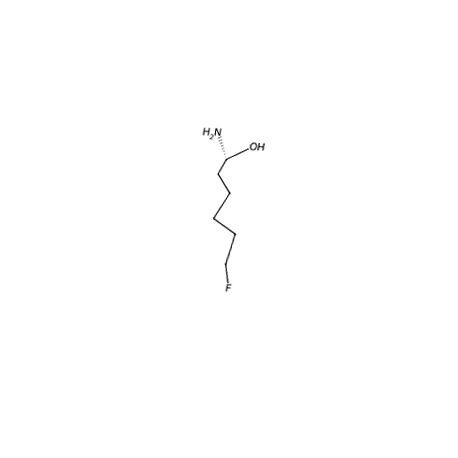 N[C@H](O)CCCCCF